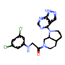 O=C(CNc1cc(Cl)cc(Cl)c1)N1CCC2CCN(c3ncnc4[nH]ncc34)C2C1